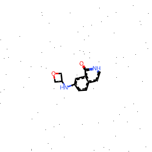 O=c1[nH]ccc2ccc(NC3COC3)cc12